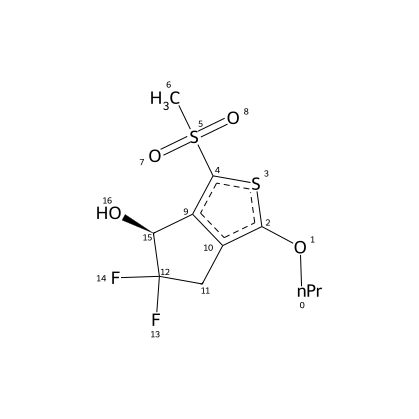 CCCOc1sc(S(C)(=O)=O)c2c1CC(F)(F)[C@H]2O